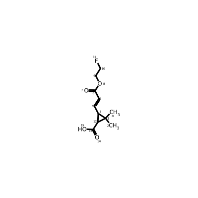 CC1(C)C(/C=C/C(=O)OCCF)C1C(=O)O